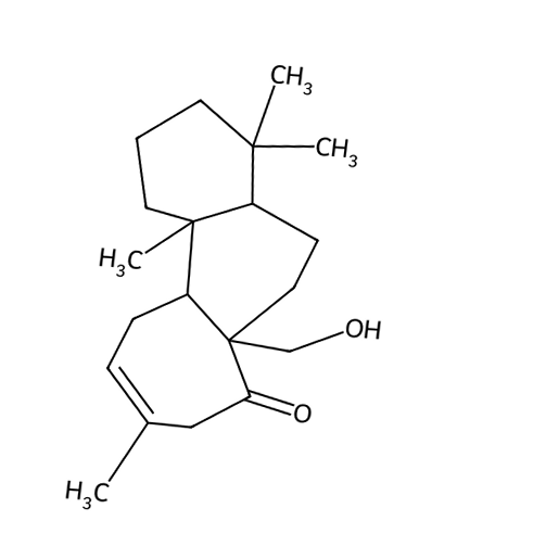 CC1=CCC2C(CO)(CCC3C(C)(C)CCCC32C)C(=O)C1